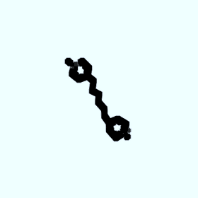 C[n+]1ccc(CCCCCCc2cc[n+](C)cc2)cc1